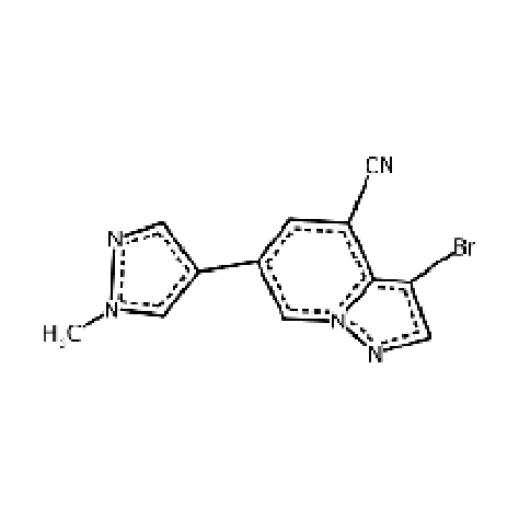 Cn1cc(-c2cc(C#N)c3c(Br)cnn3c2)cn1